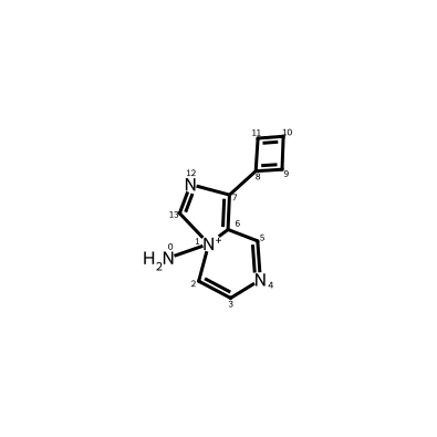 N[N+]12C=CN=CC1=C(C1=CC=C1)N=C2